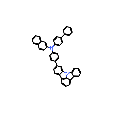 c1ccc(-c2ccc(N(c3ccc(-c4ccc5c6cccc7c8ccccc8n(c5c4)c76)cc3)c3ccc4ccccc4c3)cc2)cc1